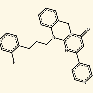 O=c1cc(-c2ccncc2)nc2n1Cc1ccccc1N2CCCc1ccccc1F